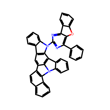 c1ccc(-c2nc(-n3c4ccccc4c4cc5c6ccc7ccccc7c6n6c7ccccc7c(c43)c56)nc3c2oc2ccccc23)cc1